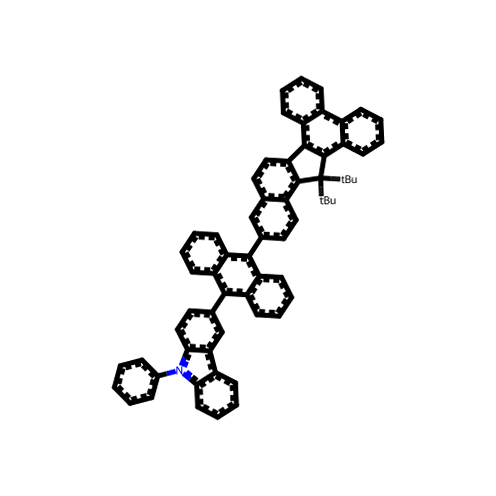 CC(C)(C)C1(C(C)(C)C)c2c(ccc3cc(-c4c5ccccc5c(-c5ccc6c(c5)c5ccccc5n6-c5ccccc5)c5ccccc45)ccc23)-c2c1c1ccccc1c1ccccc21